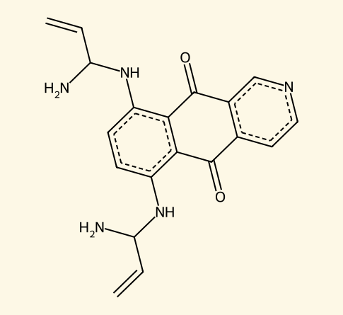 C=CC(N)Nc1ccc(NC(N)C=C)c2c1C(=O)c1ccncc1C2=O